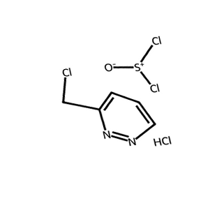 Cl.ClCc1cccnn1.[O-][S+](Cl)Cl